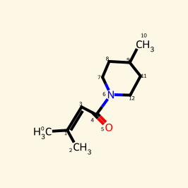 CC(C)=CC(=O)N1CCC(C)CC1